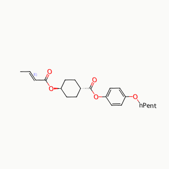 C/C=C/C(=O)O[C@H]1CC[C@H](C(=O)Oc2ccc(OCCCCC)cc2)CC1